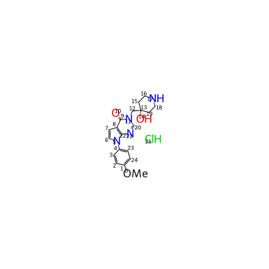 COc1ccc(-n2ccc3c(=O)n(CC4(O)CCNCC4)cnc32)cc1.Cl